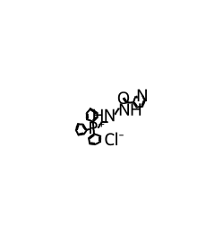 O=C(NCCNCCC[P+](c1ccccc1)(c1ccccc1)c1ccccc1)c1cccnc1.[Cl-]